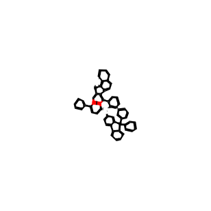 CC1(C)c2cccc(-c3ccccc3N(c3ccc(-c4ccccc4)cc3)c3ccc4c(c3)C(c3ccccc3)(c3ccccc3)c3ccccc3-4)c2-c2ccc3ccccc3c21